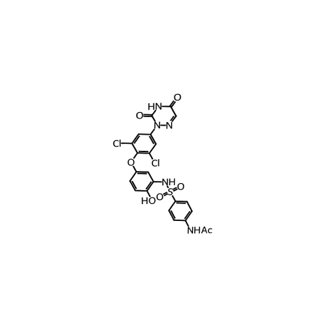 CC(=O)Nc1ccc(S(=O)(=O)Nc2cc(Oc3c(Cl)cc(-n4ncc(=O)[nH]c4=O)cc3Cl)ccc2O)cc1